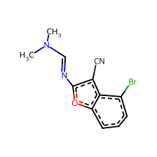 CN(C)C=Nc1oc2cccc(Br)c2c1C#N